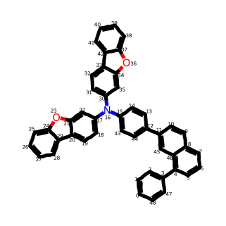 c1ccc(-c2cccc3ccc(-c4ccc(N(c5ccc6c(c5)oc5ccccc56)c5ccc6c(c5)oc5ccccc56)cc4)cc23)cc1